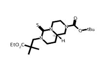 CCOC(=O)C(C)(C)CN1CC[C@H]2CN(C(=O)OC(C)(C)C)CCN2C1=S